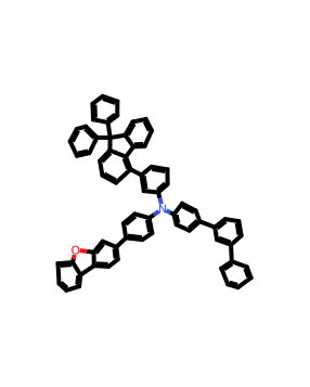 c1ccc(-c2cccc(-c3ccc(N(c4ccc(-c5ccc6c(c5)oc5ccccc56)cc4)c4cccc(-c5cccc6c5-c5ccccc5C6(c5ccccc5)c5ccccc5)c4)cc3)c2)cc1